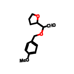 COc1ccc(COC(C=O)C2CCCO2)cc1